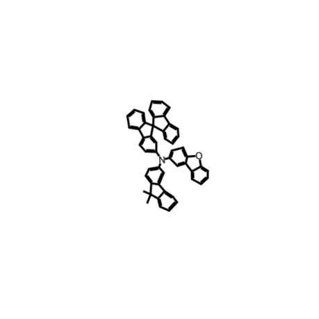 CC1(C)c2ccccc2-c2cc(N(c3ccc4c(c3)C3(c5ccccc5-c5ccccc53)c3ccccc3-4)c3ccc4oc5ccccc5c4c3)ccc21